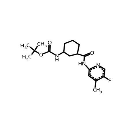 Cc1cc(NC(=O)C2CCCC(NC(=O)OC(C)(C)C)C2)ncc1F